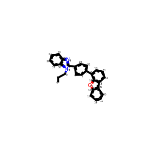 CCCn1c(-c2ccc(-c3cccc4c3oc3ccccc34)cc2)nc2ccccc21